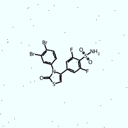 NS(=O)(=O)c1c(F)cc(-c2csc(=O)n2-c2ccc(Br)c(Br)c2)cc1F